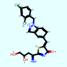 N=C(CC(O)CO)C1=NC(=O)C(=Cc2ccc3c(cnn3Cc3ccc(Cl)cc3C(F)(F)F)c2)S1